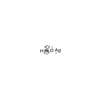 N.O.[Ag].[Cr]